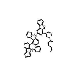 C=C(/C=C\C=C/C)C/C=C(\C=C/C)c1cc(-n2c3ccccc3c3c(-c4cccc5c6ccccc6n(-c6ccccc6)c45)cccc32)cc2c1sc1ccccc12